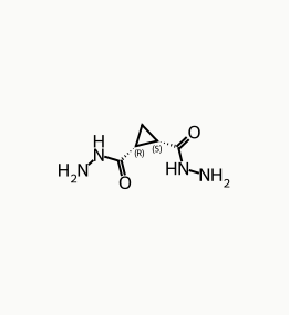 NNC(=O)[C@H]1C[C@H]1C(=O)NN